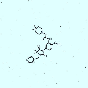 CC1(C)CCN(CC(=O)Nc2cc(N3C(=O)N(Cc4ccncc4)C(C)(C)C3=O)ccc2OC(F)(F)F)CC1